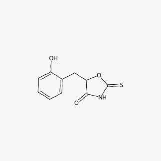 O=C1NC(=S)OC1Cc1ccccc1O